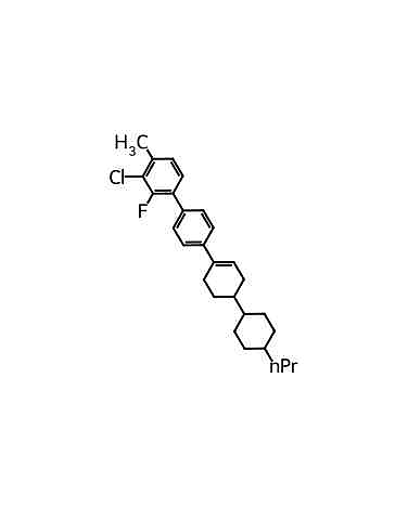 CCCC1CCC(C2CC=C(c3ccc(-c4ccc(C)c(Cl)c4F)cc3)CC2)CC1